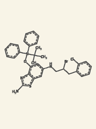 CC(C)(C)[Si](Oc1cc(NCC(Br)Cc2ccccc2Cl)cc2sc(N)nc12)(c1ccccc1)c1ccccc1